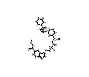 CCOC(=O)c1cc2c(cn1)ncn2CCC(C)(C)NCC(O)c1cccc(NS(=O)(=O)c2ccccc2)c1